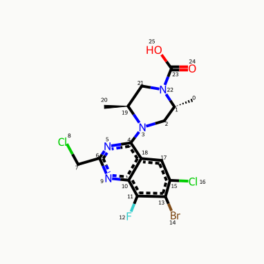 C[C@@H]1CN(c2nc(CCl)nc3c(F)c(Br)c(Cl)cc23)[C@@H](C)CN1C(=O)O